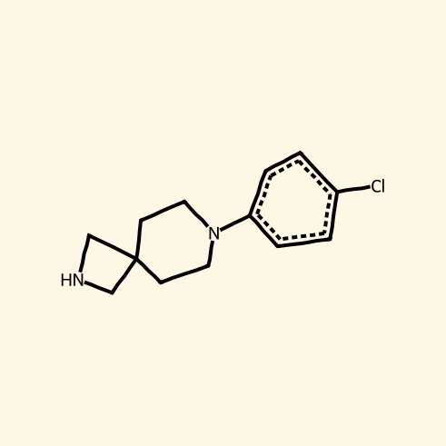 Clc1ccc(N2CCC3(CC2)CNC3)cc1